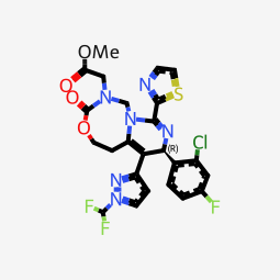 COC(=O)CN1CN2C(c3nccs3)=N[C@@H](c3ccc(F)cc3Cl)C(c3ccn(C(F)F)n3)=C2CCOC1=O